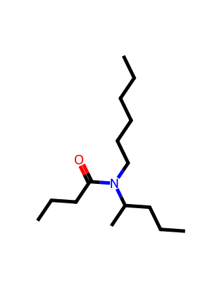 CCCCCCN(C(=O)CCC)C(C)CCC